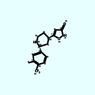 Cc1cc([C@H]2C[C@H](c3cc(=O)[nH]o3)CCN2)ccc1C(F)(F)F